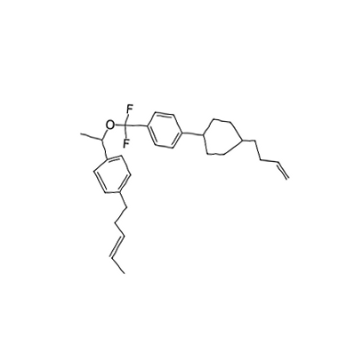 C=CCCC1CCC(c2ccc(C(F)(F)OC(C)c3ccc(CC/C=C/C)cc3)cc2)CC1